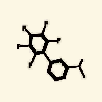 CC(C)c1cccc(-c2c(F)c(F)c(F)c(F)c2F)c1